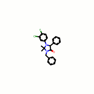 CC1(C)N(Cc2ccccc2)C(=O)C(c2ccccc2)N1c1ccc(F)c(Cl)c1